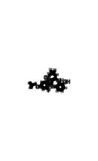 C=C(C)COc1ccc(C2Nc3cccc(O)c3NC3=C2S(=O)(=O)CC(C)(C)C3)c(F)c1